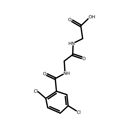 O=C(O)CNC(=O)CNC(=O)c1cc(Cl)ccc1Cl